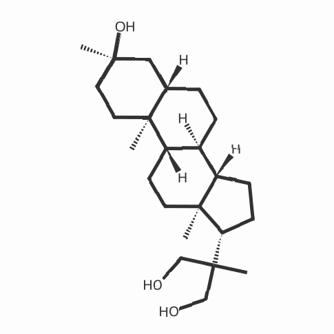 CC(CO)(CO)[C@H]1CC[C@H]2[C@@H]3CC[C@H]4C[C@](C)(O)CC[C@]4(C)[C@H]3CC[C@]12C